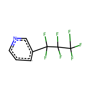 FC(F)(F)C(F)(F)C(F)(F)c1[c]ccnc1